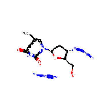 Cc1cn([C@H]2C[C@H](N=[N+]=[N-])[C@@H](CO)O2)c(=O)[nH]c1=O.N=[N+]=N